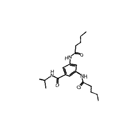 CCCCC(=O)Nc1cc(NC(=O)CCCC)cc(C(=O)NC(C)C)c1